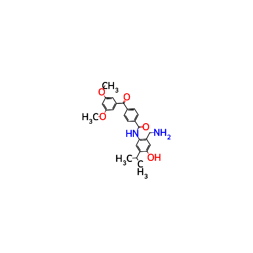 COc1cc(OC)cc(C(=O)c2ccc(C(=O)Nc3cc(C(C)C)c(O)cc3CN)cc2)c1